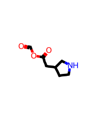 O=COC(=O)CC1CCNC1